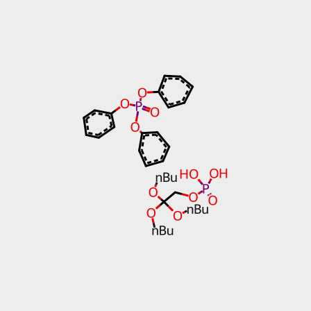 CCCCOC(COP(=O)(O)O)(OCCCC)OCCCC.O=P(Oc1ccccc1)(Oc1ccccc1)Oc1ccccc1